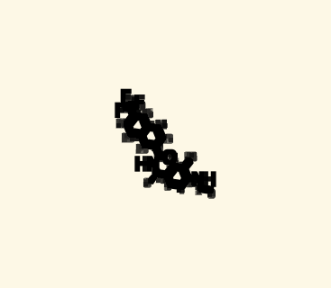 CCNc1ccc([C@@H](C)NC(=O)c2ccc3cc(C(F)(F)F)ccc3c2)cc1C